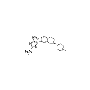 CN1CCC(N2CCc3ccc(-n4nc(N)nc4N)cc3C2)CC1